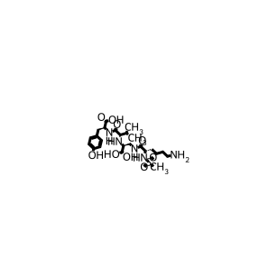 CC(C)[C@H](N[C@@H](CNC(=O)[C@H](CCCCN)NS(C)(=O)=O)C(=O)O)C(=O)N[C@@H](Cc1ccc(O)cc1)C(=O)O